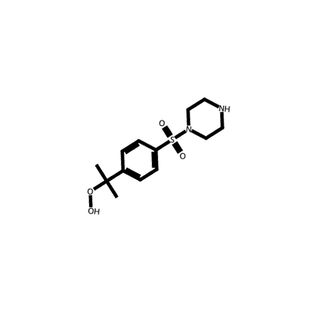 CC(C)(OO)c1ccc(S(=O)(=O)N2CCNCC2)cc1